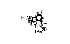 C[C@@H](N[S@+]([O-])C(C)(C)C)c1cc(F)cc2c1OC(C)(CN)C2